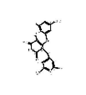 Cc1cc(C=O)cc(Oc2c(C(C)C)c(=O)[nH]c(=O)n2Cc2cc(N)nc(F)c2)c1